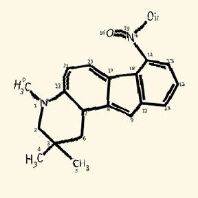 CN1CC(C)(C)CC2C3=Cc4cccc([N+](=O)[O-])c4C3=CC=C21